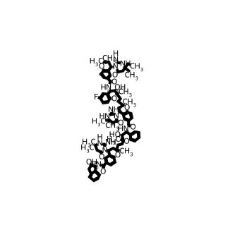 CCC1(CC)CC(=O)N([C@@H]2CC(C)(C)Oc3ccc(C(=O)N[C@@H]4c5cc(F)ccc5OC(C)(CCC5(C)C[C@@H](N6C(=N)NC(C)(C)CC6=O)c6cc(C(=O)N[C@@H]7c8ccccc8OC(C)(CCC8(C)C[C@@H](N9C(=N)NC(C)(C)CC9=O)c9cc(C(=O)N[C@@H]%10c%11ccccc%11C[C@H]%10O)ccc9O8)[C@H]7O)ccc6O5)[C@H]4O)cc32)C(=N)N1